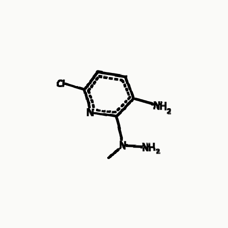 CN(N)c1nc(Cl)ccc1N